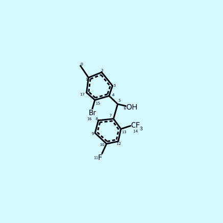 Cc1ccc(C(O)c2ccc(F)cc2C(F)(F)F)c(Br)c1